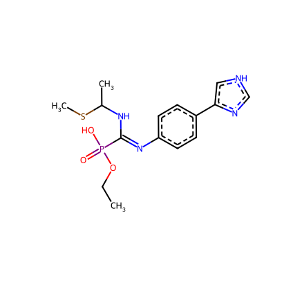 CCOP(=O)(O)/C(=N/c1ccc(-c2c[nH]cn2)cc1)NC(C)SC